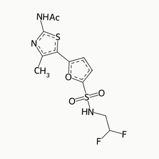 CC(=O)Nc1nc(C)c(-c2ccc(S(=O)(=O)NCC(F)F)o2)s1